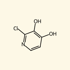 Oc1ccnc(Cl)c1O